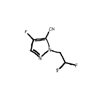 N#Cc1c(F)[c]nn1CC(F)F